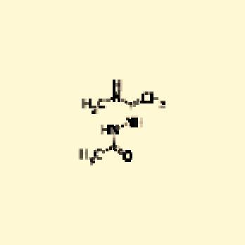 C=C(NC)NNC(C)=O